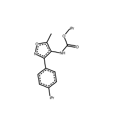 Cc1onc(-c2ccc(C(C)C)cc2)c1NC(=O)OC(C)C